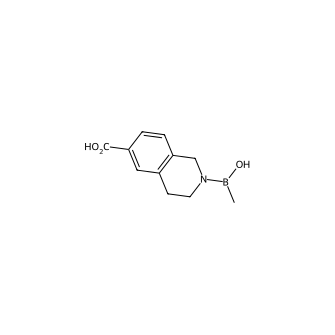 CB(O)N1CCc2cc(C(=O)O)ccc2C1